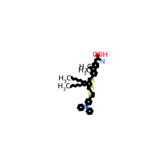 CCCCCCCCC1(CCCCCCCC)c2cc(-c3ccc4c(c3)C(C)(C)c3cc(/C=C(\C#N)C(=O)O)ccc3-4)sc2-c2sc(-c3ccc(-c4ccc(N(c5ccccc5)c5ccccc5)cc4)s3)cc21